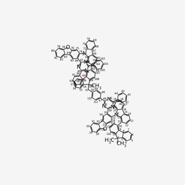 CC1(C)c2ccccc2-c2c(-c3cccc4c5ccccc5n(-c5cc6oc7ccccc7c6cc5-c5nc(-c6ccccc6)nc(-c6ccc(CC7(C)c8ccccc8-c8cc(-c9ccc%10c%11ccccc%11n(-c%11cc%12oc%13ccccc%13c%12cc%11-c%11nc(-c%12ccccc%12)nc(-c%12ccccc%12)n%11)c%10c9)ccc87)cc6)n5)c34)cccc21